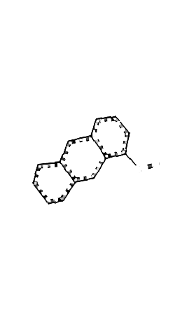 O=[S+]c1cccc2cc3ccccc3cc12